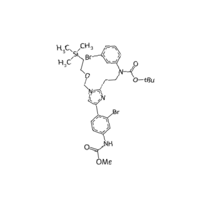 COC(=O)Nc1ccc(-c2cn(COCC[Si](C)(C)C)c(CCN(C(=O)OC(C)(C)C)c3cccc(Br)c3)n2)c(Br)c1